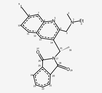 CCN(C)Cc1nc2cc(I)ccc2cc1[C@H](C)N1C(=O)c2ccccc2C1=O